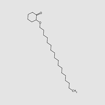 CCCCCCCCCCCCCCCCCCOC1CCCCC1=O